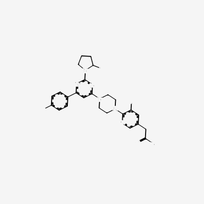 CC1CCCN1c1nc(-c2ccc(F)cc2)cc(N2CCN(c3ncc(CC(N)=O)cc3Cl)CC2)n1